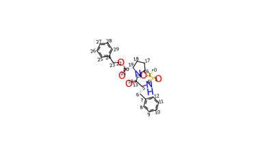 CS(=O)(=O)N[C@H](Cc1ccccc1)C(=O)N1CCC[C@H]1C(=O)OCc1ccccc1